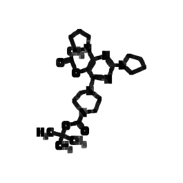 CC(=O)Oc1c(N2CCCC2)nc(N2CCCC2)nc1N1CCN(C(=O)OC(C)(C)C)CC1